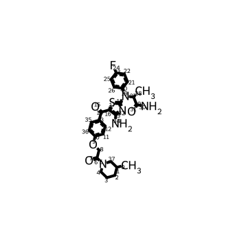 CC1CCCN(C(=O)COc2ccc(C(=O)c3sc(N(c4ccc(F)cc4)C(C)C(N)=O)nc3N)cc2)C1